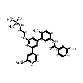 CC(=O)Nc1cc(-c2cc(-c3cc(NC(=O)c4ccnc(C(F)(F)F)c4)ccc3C)cc(OCCO[Si](C)(C)C(C)(C)C)n2)ccn1